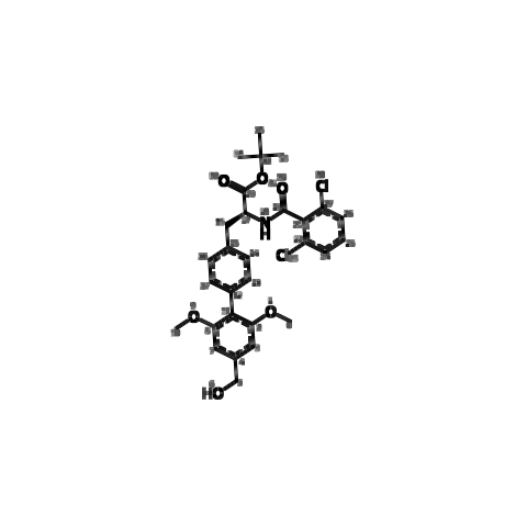 COc1cc(CO)cc(OC)c1-c1ccc(C[C@H](NC(=O)c2c(Cl)cccc2Cl)C(=O)OC(C)(C)C)cc1